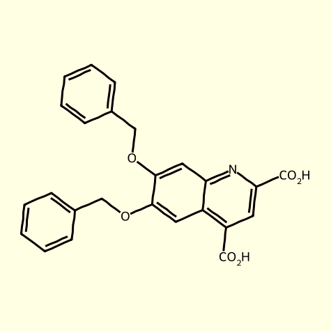 O=C(O)c1cc(C(=O)O)c2cc(OCc3ccccc3)c(OCc3ccccc3)cc2n1